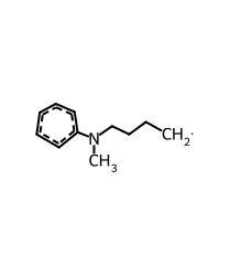 [CH2]CCCN(C)c1ccccc1